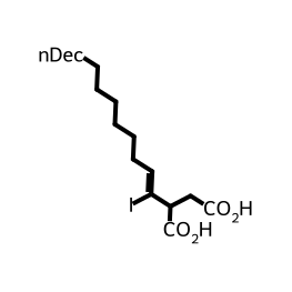 CCCCCCCCCCCCCCCCC=C(I)C(CC(=O)O)C(=O)O